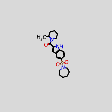 CC1CCCCN1C(=O)c1cc2cc(S(=O)(=O)N3CCCCCC3)ccc2[nH]1